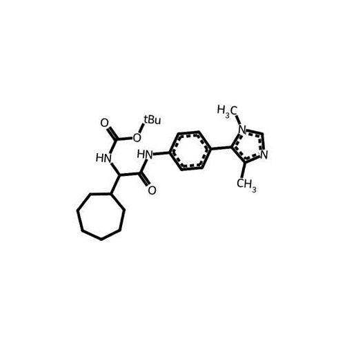 Cc1ncn(C)c1-c1ccc(NC(=O)C(NC(=O)OC(C)(C)C)C2CCCCCC2)cc1